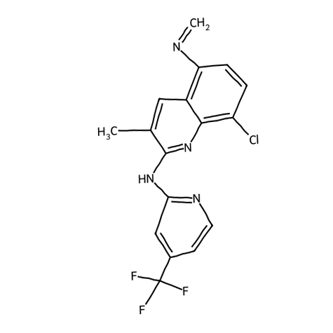 C=Nc1ccc(Cl)c2nc(Nc3cc(C(F)(F)F)ccn3)c(C)cc12